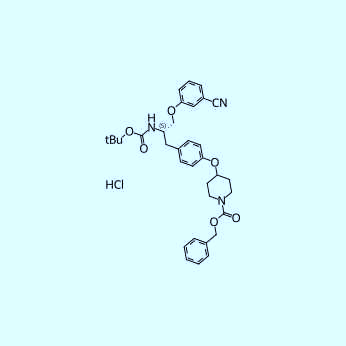 CC(C)(C)OC(=O)N[C@H](COc1cccc(C#N)c1)Cc1ccc(OC2CCN(C(=O)OCc3ccccc3)CC2)cc1.Cl